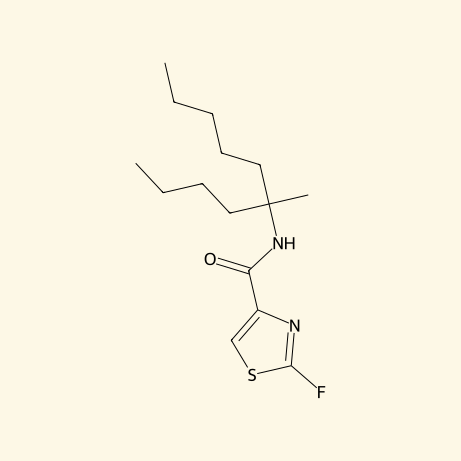 CCCCCC(C)(CCCC)NC(=O)c1csc(F)n1